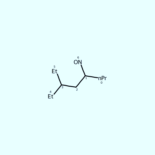 CCCC(CC(CC)CC)N=O